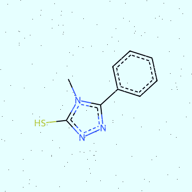 Cn1c(S)nnc1-c1ccccc1